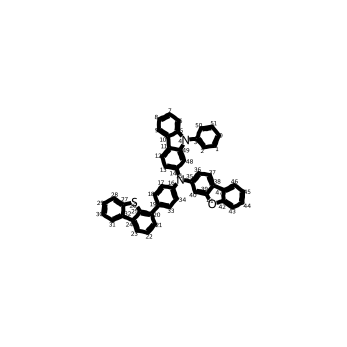 c1ccc(-n2c3ccccc3c3ccc(N(c4ccc(-c5cccc6c5sc5ccccc56)cc4)c4ccc5c(c4)oc4ccccc45)cc32)cc1